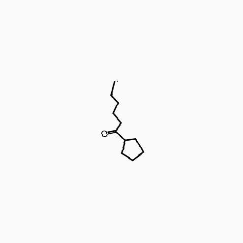 [CH2]CCCCC(=O)C1CCCC1